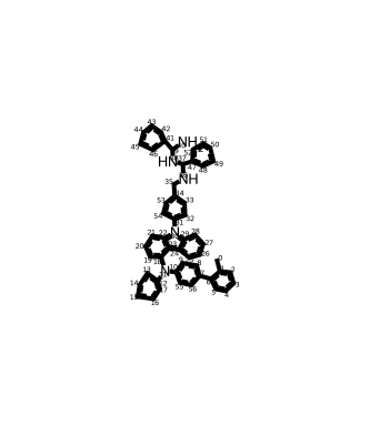 Cc1ccccc1-c1ccc(N(c2ccccc2)c2cccc3c2c2ccccc2n3-c2ccc(CNC(NC(N)c3ccccc3)c3ccccc3)cc2)cc1